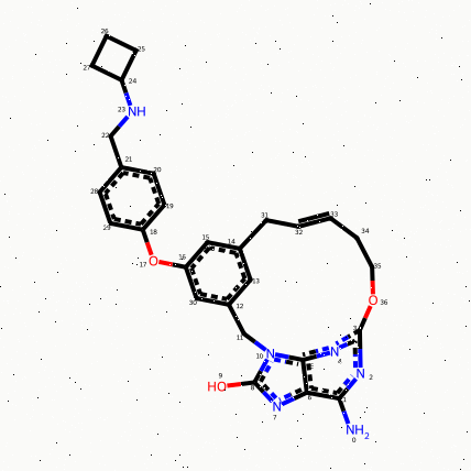 Nc1nc2nc3c1nc(O)n3Cc1cc(cc(Oc3ccc(CNC4CCC4)cc3)c1)C/C=C/CCO2